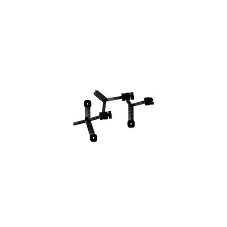 C=C(NC(=O)CC)NS(C)(=O)=O